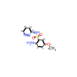 COc1ccc(N)c(S(=O)(=O)Nc2cccnn2)c1